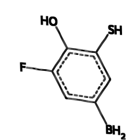 Bc1cc(F)c(O)c(S)c1